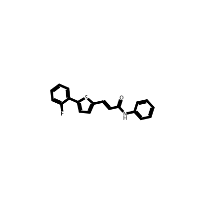 O=C(C=Cc1ccc(-c2ccccc2F)s1)Nc1ccccc1